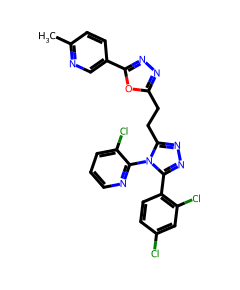 Cc1ccc(-c2nnc(CCc3nnc(-c4ccc(Cl)cc4Cl)n3-c3ncccc3Cl)o2)cn1